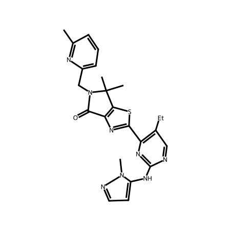 CCc1cnc(Nc2ccnn2C)nc1-c1nc2c(s1)C(C)(C)N(Cc1cccc(C)n1)C2=O